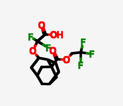 O=C(O)C(F)(F)OC1CC2CC3CCC1C(C(=O)OCC(F)(F)F)(C3)C2